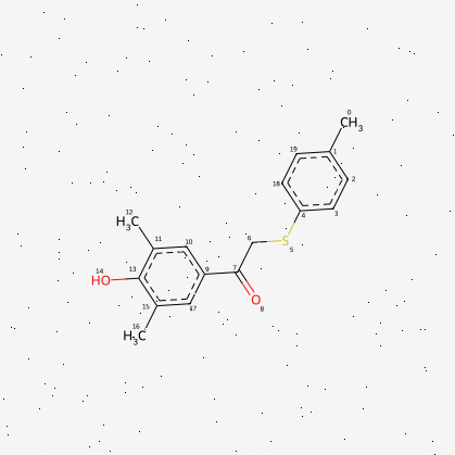 Cc1ccc(SCC(=O)c2cc(C)c(O)c(C)c2)cc1